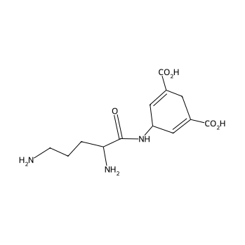 NCCCC(N)C(=O)NC1C=C(C(=O)O)CC(C(=O)O)=C1